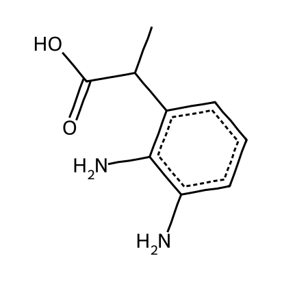 CC(C(=O)O)c1cccc(N)c1N